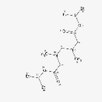 CCC(CC)OC(=O)CN(C)CN(C)CC(=O)OC(CC)CC